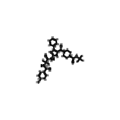 CC(C)(C)OC(=O)N1CCN(C(=O)c2sc(NC(=O)C(C)(C)NC(=O)c3ccc(F)cc3)nc2-c2ccccc2)CC1